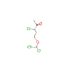 CC(=O)C(Cl)CCOC(Cl)Cl